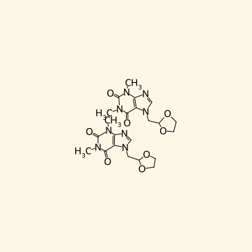 Cn1c(=O)c2c(ncn2CC2OCCO2)n(C)c1=O.Cn1c(=O)c2c(ncn2CC2OCCO2)n(C)c1=O